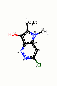 CCOC(=O)c1c(O)c2nnc(Cl)cc2n1C